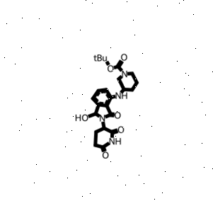 CC(C)(C)OC(=O)N1CCCC(Nc2cccc3c2C(=O)N(C2CCC(=O)NC2=O)C3O)C1